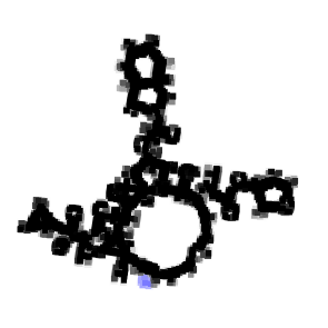 O=C(N[C@H]1CCCCC/C=C/[C@@H]2C[C@@]2(C(=O)NS(=O)(=O)C2CC2)NC(=O)[C@@H]2C[C@@H](OC(=O)N3Cc4ccccc4C3)CN2C1=O)OC1CCOC1